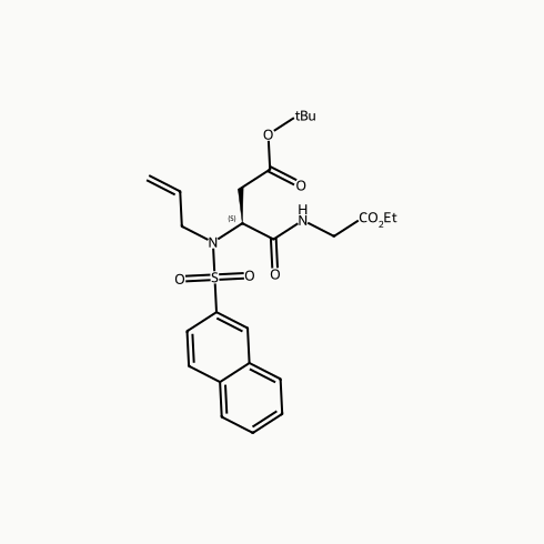 C=CCN([C@@H](CC(=O)OC(C)(C)C)C(=O)NCC(=O)OCC)S(=O)(=O)c1ccc2ccccc2c1